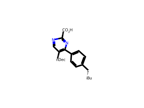 CCCCCCCCCCc1cnc(C(=O)O)nc1-c1ccc(C[C@@H](C)CC)cc1